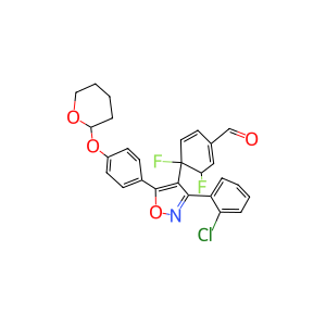 O=CC1=CC(F)C(F)(c2c(-c3ccccc3Cl)noc2-c2ccc(OC3CCCCO3)cc2)C=C1